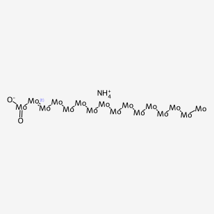 [NH4+].[O]=[Mo]([O-])/[Mo]=[Mo]/[Mo][Mo][Mo][Mo][Mo][Mo][Mo][Mo][Mo][Mo][Mo][Mo][Mo]